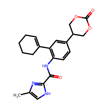 Cc1c[nH]c(C(=O)Nc2ccc(C3COC(=O)OC3)cc2C2=CCCCC2)n1